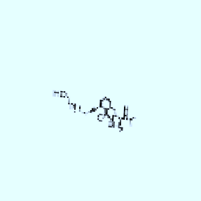 Bn1c([C@H](C)NC(=C)C)cc2cccc(C#CCC3CN(CCO)C3)c2c1=O